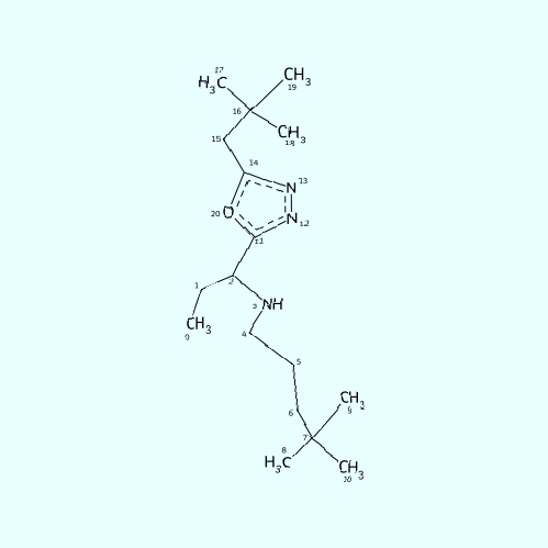 CCC(NCCCC(C)(C)C)c1nnc(CC(C)(C)C)o1